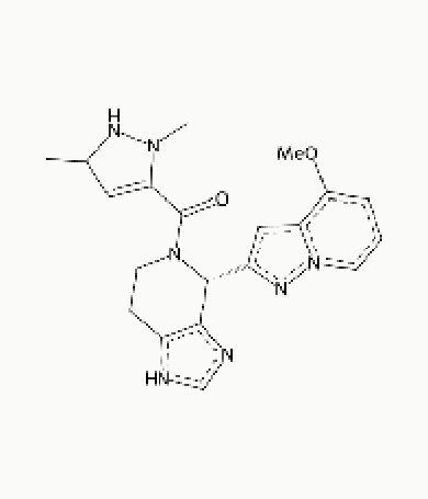 COc1cccn2nc([C@@H]3c4nc[nH]c4CCN3C(=O)C3=CC(C)NN3C)cc12